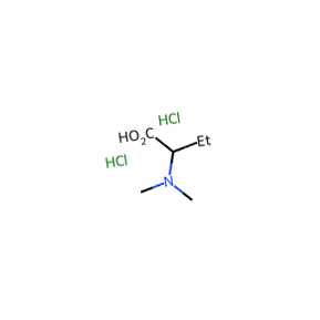 CCC(C(=O)O)N(C)C.Cl.Cl